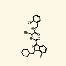 CC(C)(C)C(NC(=O)c1nn(CC2CCCCC2)c2c(F)cccc12)C(=O)NCc1ccccc1Cl